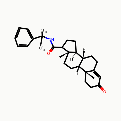 C[C@]12CCC(=O)C=C1CC[C@@H]1[C@H]2CC[C@]2(C)C(C(=O)NC(c3ccccc3)(C(F)(F)F)C(F)(F)F)CC[C@@H]12